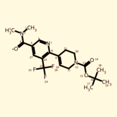 CN(C)C(=O)c1cnc(C2=CCN(C(=O)OC(C)(C)C)CC2)c(C(F)(F)F)c1